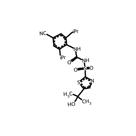 CC(C)c1cc(C#N)cc(C(C)C)c1NC(=O)NS(=O)(=O)c1ncc(C(C)(C)O)s1